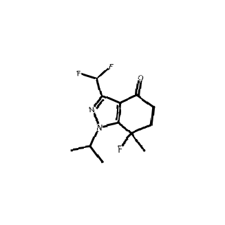 CC(C)n1nc(C(F)F)c2c1C(C)(F)CCC2=O